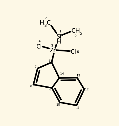 C[SiH](C)[Zr]([Cl])([Cl])[CH]1C=Cc2ccccc21